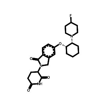 O=C1CCC(N2Cc3cc(O[C@H]4CCCC[C@H]4N4CCC(F)CC4)ccc3C2=O)C(=O)N1